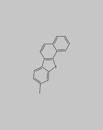 Ic1ccc2c(c1)sc1c3ccccc3ccc21